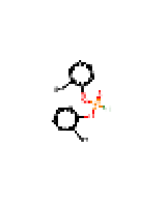 CC(C)c1ccccc1OP(=O)(Cl)Oc1ccccc1C(C)C